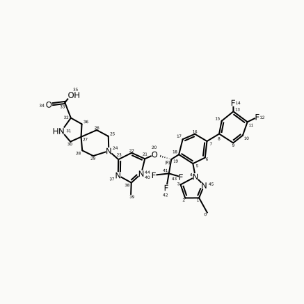 Cc1ccn(-c2cc(-c3ccc(F)c(F)c3)ccc2[C@@H](Oc2cc(N3CCC4(CC3)CNC(C(=O)O)C4)nc(C)n2)C(F)(F)F)n1